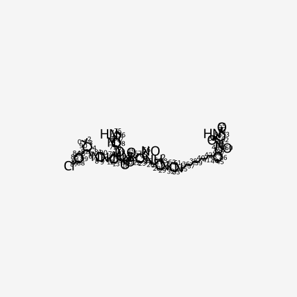 CC1(C)CCC(CN2CCN(c3ccc(C(=O)NS(=O)(=O)c4ccc(NCC5CCN(C6CCN(CCCCCCCCc7cccc8c7CN(C7CCC(=O)NC7=O)C8=O)CC6)CC5)c([N+](=O)[O-])c4)c(Oc4cnc5[nH]ccc5c4)c3)CC2)=C(c2ccc(Cl)cc2)C1